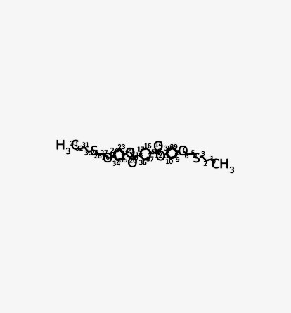 CCCCSCCOc1ccc(OC(=O)[C@H]2CC[C@H](C(=O)Oc3ccc(OCCSCCCC)cc3)CC2)cc1